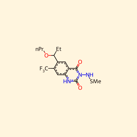 CCCOC(CC)c1cc2c(=O)n(NSC)c(=O)[nH]c2cc1C(F)(F)F